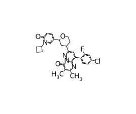 Cc1nc2c(-c3ccc(Cl)cc3F)cc(C3CCOC(c4ccc(=O)n(C5CCC5)c4)C3)nn2c(=O)c1C